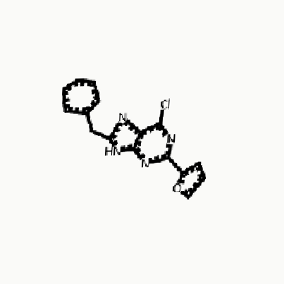 Clc1nc(-c2ccco2)nc2[nH]c(Cc3ccccc3)nc12